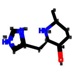 CC1CCC(=O)[C@H](Cc2c[nH]cn2)N1